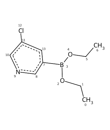 CCOB(OCC)c1cncc(Cl)c1